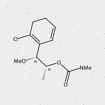 CNC(=O)O[C@H](C)[C@H](OC)C1=C(Cl)CCC=C1